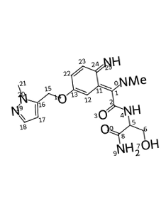 CN/C(C(=O)NC(CO)C(N)=O)=C1/C=C(OCc2ccnn2C)C=CC1=N